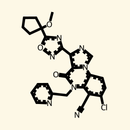 COC1(c2nc(-c3ncn4c3c(=O)n(Cc3ccccn3)c3c(C#N)c(Cl)ccc34)no2)CCCC1